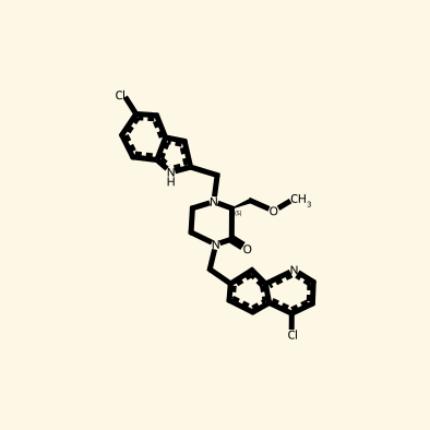 COC[C@H]1C(=O)N(Cc2ccc3c(Cl)ccnc3c2)CCN1Cc1cc2cc(Cl)ccc2[nH]1